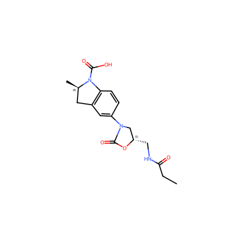 CCC(=O)NC[C@H]1CN(c2ccc3c(c2)C[C@@H](C)N3C(=O)O)C(=O)O1